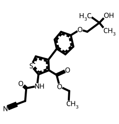 CCOC(=O)c1c(-c2ccc(OCC(C)(C)O)cc2)csc1NC(=O)CC#N